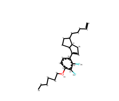 C=CCCCC1CCC2C(c3ccc(OCCCCCC)c(F)c3F)=CCC12